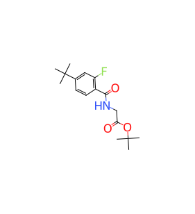 CC(C)(C)OC(=O)CNC(=O)c1ccc(C(C)(C)C)cc1F